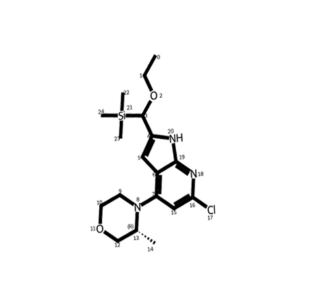 CCOC(c1cc2c(N3CCOC[C@H]3C)cc(Cl)nc2[nH]1)[Si](C)(C)C